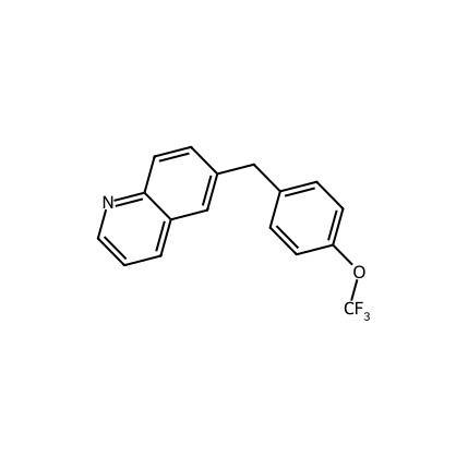 FC(F)(F)Oc1ccc(Cc2ccc3ncccc3c2)cc1